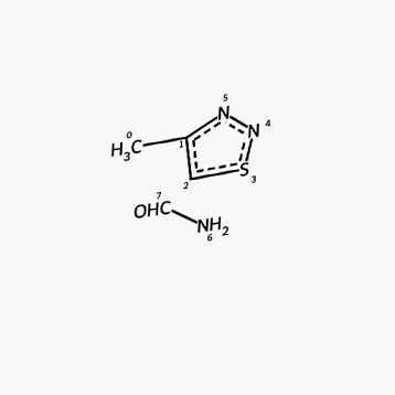 Cc1csnn1.NC=O